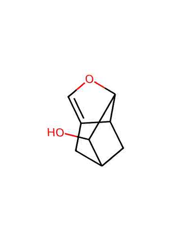 OC1C2CC3=COC1C3C2